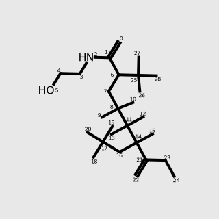 C=C(NCCO)C(CC(C)(C)C(C)(C)C(C)(CC(C)(C)C)C(=C)CC)C(C)(C)C